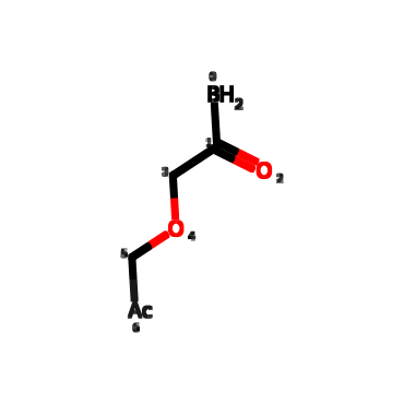 BC(=O)COCC(C)=O